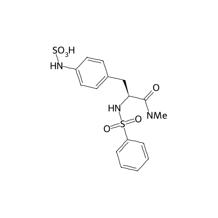 CNC(=O)[C@H](Cc1ccc(NS(=O)(=O)O)cc1)NS(=O)(=O)c1ccccc1